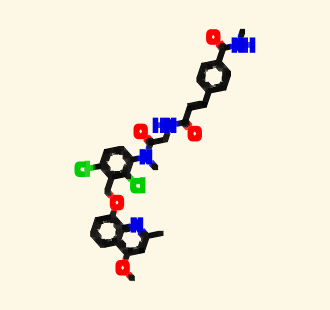 CNC(=O)c1ccc(C=CC(=O)NCC(=O)N(C)c2ccc(Cl)c(COc3cccc4c(OC)cc(C)nc34)c2Cl)cc1